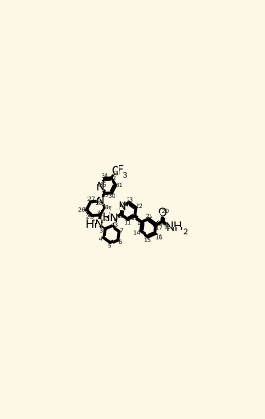 C[C@]1(N[C@@H]2CCCC[C@H]2Nc2cc(-c3cccc(C(N)=O)c3)ccn2)CCCN(c2ccc(C(F)(F)F)cn2)C1